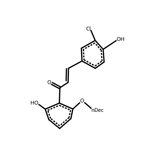 CCCCCCCCCCOc1cccc(O)c1C(=O)/C=C/c1ccc(O)c(Cl)c1